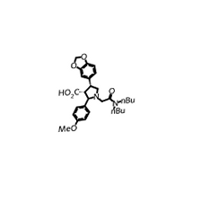 CCCCN(CCCC)C(=O)CN1C[C@H](c2ccc3c(c2)OCO3)[C@@H](C(=O)O)C1c1ccc(OC)cc1